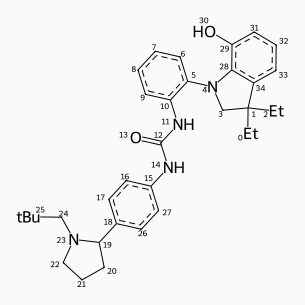 CCC1(CC)CN(c2ccccc2NC(=O)Nc2ccc(C3CCCN3CC(C)(C)C)cc2)c2c(O)cccc21